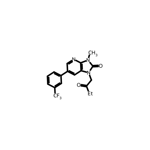 CCC(=O)Cn1c(=O)n(C)c2ncc(-c3cccc(C(F)(F)F)c3)cc21